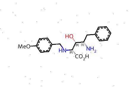 COc1ccc(CN[C@@H](C(=O)O)[C@H](O)[C@@H](N)Cc2ccccc2)cc1